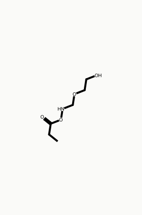 CCC(=O)ONCOCCO